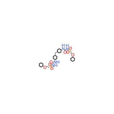 O=C(Nc1ccc(Cc2ccc(NC(=O)NS(=O)(=O)CCOc3ccccc3)cc2)cc1)NS(=O)(=O)CCOc1ccccc1